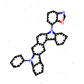 c1ccc(-n2c3ccccc3c3cc4c(ccc5c4c4ccccc4n5-c4cccc5ncoc45)cc32)cc1